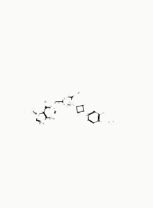 COc1ccc([C@H]2C[C@H](n3nc(Cn4cnc5ncn(C)c5c4=O)oc3=O)C2)cc1